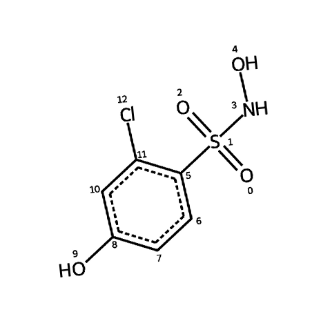 O=S(=O)(NO)c1ccc(O)cc1Cl